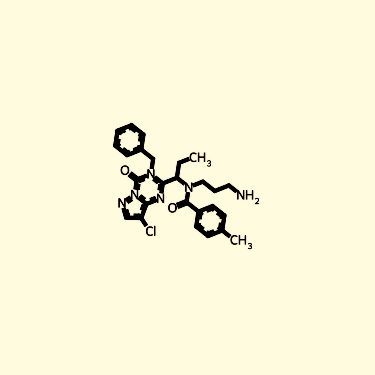 CCC(c1nc2c(Cl)cnn2c(=O)n1Cc1ccccc1)N(CCCN)C(=O)c1ccc(C)cc1